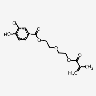 C=C(C)C(=O)OCCOCCOC(=O)c1ccc(O)c(Cl)c1